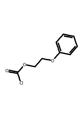 O=C(Cl)OCCOc1ccccc1